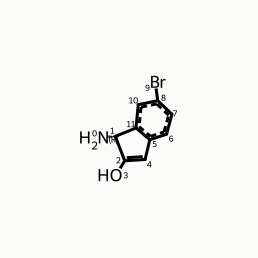 N[C@H]1C(O)=Cc2ccc(Br)cc21